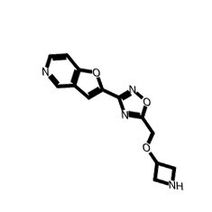 c1cc2oc(-c3noc(COC4CNC4)n3)cc2cn1